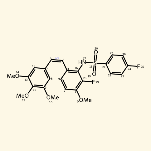 COc1ccc(/C=C\c2cc(OC)c(OC)c(OC)c2)c(NS(=O)(=O)c2ccc(F)cc2)c1F